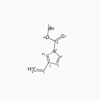 C=Cc1ccn(C(=O)OC(C)(C)C)c1